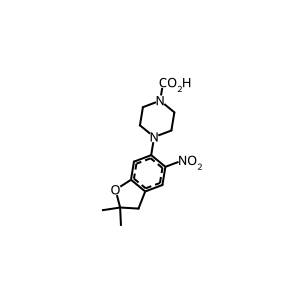 CC1(C)Cc2cc([N+](=O)[O-])c(N3CCN(C(=O)O)CC3)cc2O1